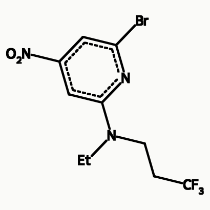 CCN(CCC(F)(F)F)c1cc([N+](=O)[O-])cc(Br)n1